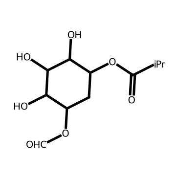 CC(C)C(=O)OC1CC(OC=O)C(O)C(O)C1O